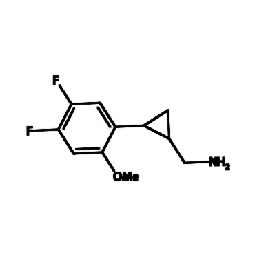 COc1cc(F)c(F)cc1C1CC1CN